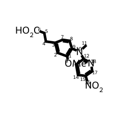 COc1cc(CCC(=O)O)ccc1N(C)c1ccc([N+](=O)[O-])cn1